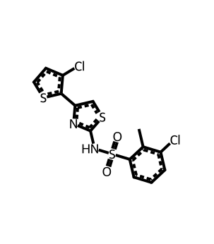 Cc1c(Cl)cccc1S(=O)(=O)Nc1nc(-c2sccc2Cl)cs1